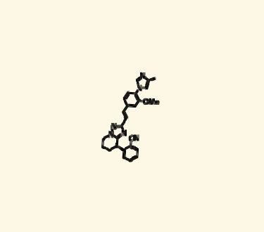 COc1cc(/C=C/c2nc3n(n2)CCC[C@@H]3c2ccccc2C#N)ccc1-n1cnc(C)c1